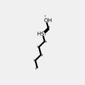 CCCCC[SH]=CO